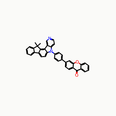 CC1(C)c2ccccc2-c2ccc3c(c21)c1cnccc1n3-c1ccc(-c2ccc3c(=O)c4ccccc4oc3c2)cc1